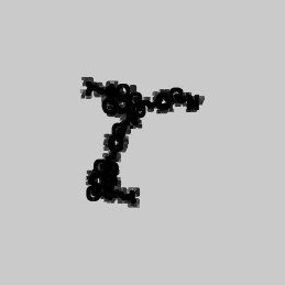 CO[C@@H]1[C@H](OC(=O)CCc2ccc(OCCN(C)C)cc2)C(CN(C)CCOc2ccc(CCC(=O)O[C@@H]3CCC4(CO4)[C@@H]([C@@]4(C)CC[C@@H]4CC=C(C)C)[C@@H]3OC)cc2)CC2(CO2)[C@H]1[C@@]1(C)CC[C@@H]1CCC(C)C